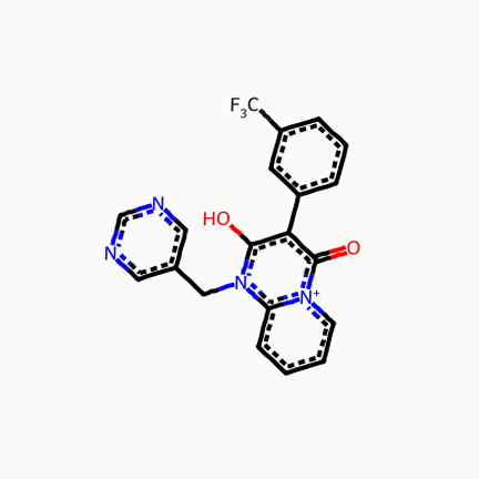 O=c1c(-c2cccc(C(F)(F)F)c2)c(O)n(Cc2cncnc2)c2cccc[n+]12